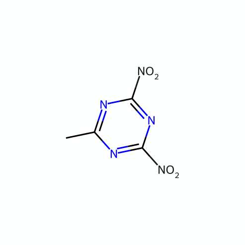 Cc1nc([N+](=O)[O-])nc([N+](=O)[O-])n1